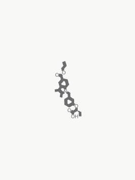 C=CCOC(=O)c1ccc2c(c1)c(C)c(C)n2Cc1cccc(O[C@@H](CC)C(=O)O)c1